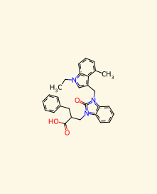 CCn1cc(Cn2c(=O)n(CC(Cc3ccccc3)C(=O)O)c3ccccc32)c2c(C)cccc21